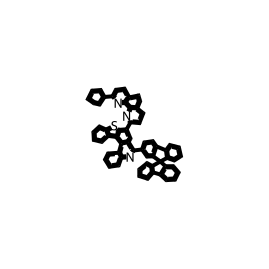 c1ccc(-c2ccc3ccc4ccc(-c5cc6c(-c7ccc8c(c7)C7(c9ccccc9-c9ccccc97)c7ccccc7-8)nc7ccccc7c6c6c5sc5ccccc56)nc4c3n2)cc1